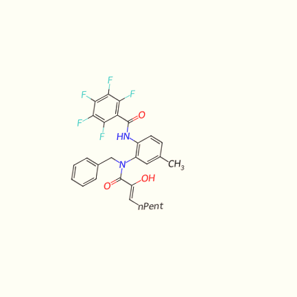 CCCCC/C=C(\O)C(=O)N(Cc1ccccc1)c1cc(C)ccc1NC(=O)c1c(F)c(F)c(F)c(F)c1F